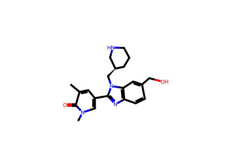 Cc1cc(-c2nc3ccc(CO)cc3n2C[C@@H]2CCCNC2)cn(C)c1=O